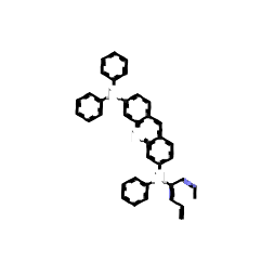 C=C/C=C(\C=C/C)N(c1ccccc1)c1ccc2cc3ccc(N(c4ccccc4)c4ccccc4)cc3nc2c1